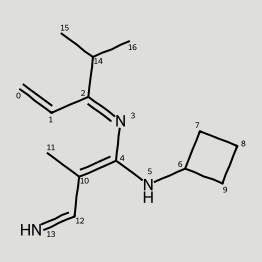 C=C/C(=N\C(NC1CCC1)=C(/C)C=N)C(C)C